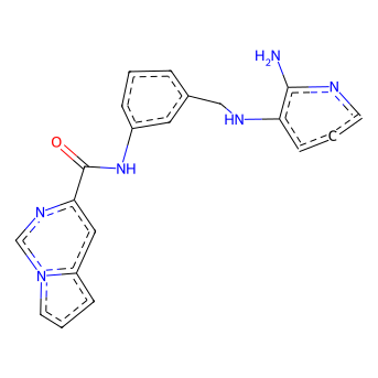 Nc1ncccc1NCc1cccc(NC(=O)c2cc3cccn3cn2)c1